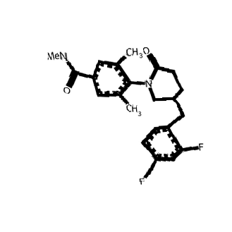 CNC(=O)c1cc(C)c(N2CC(Cc3ccc(F)cc3F)CCC2=O)c(C)c1